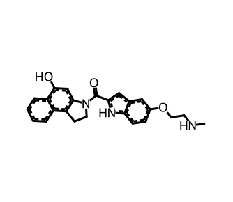 CNCCOc1ccc2[nH]c(C(=O)N3CCc4c3cc(O)c3ccccc43)cc2c1